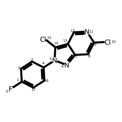 Fc1ccc(-n2nc3cc(Cl)ncc3c2Cl)cc1